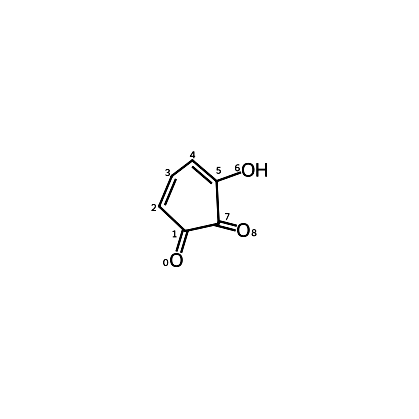 O=C1C=CC=C(O)C1=O